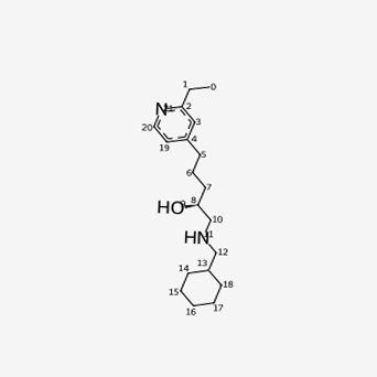 CCc1cc(CCC[C@H](O)CNCC2CCCCC2)ccn1